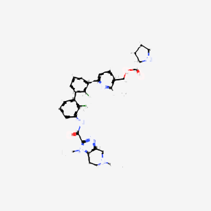 COc1nc(-c2cccc(-c3cccc(NC(=O)c4nc5c(n4C)CCN(C)C5)c3Cl)c2Cl)ccc1COC(=O)[C@@H]1CCCN1